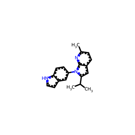 Cc1ccc2cc(C(C)C)n(-c3ccc4[nH]ccc4c3)c2n1